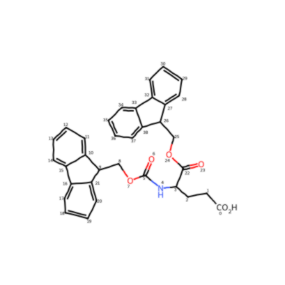 O=C(O)CCC(NC(=O)OCC1c2ccccc2-c2ccccc21)C(=O)OCC1c2ccccc2-c2ccccc21